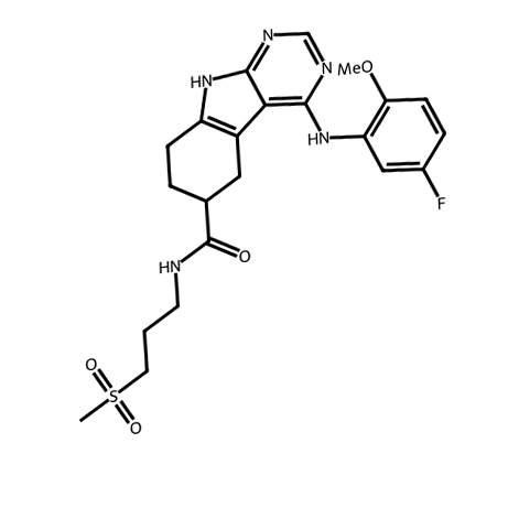 COc1ccc(F)cc1Nc1ncnc2[nH]c3c(c12)CC(C(=O)NCCCS(C)(=O)=O)CC3